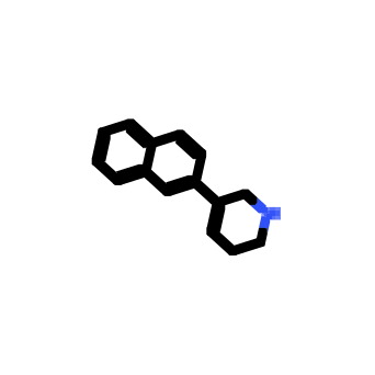 C1=C(c2ccc3ccccc3c2)CNCC1